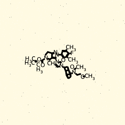 COCCN(C(C)=O)C12C3C4C1C1C2C3C41n1ccn(-c2c3c(nn2-c2cc(C)c(F)c(C)c2)CCN(C(=O)OC(C)(C)C)[C@H]3C)c1=O